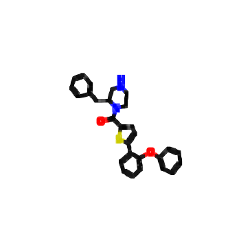 O=C(c1ccc(-c2ccccc2Oc2ccccc2)s1)N1CCNCC1Cc1ccccc1